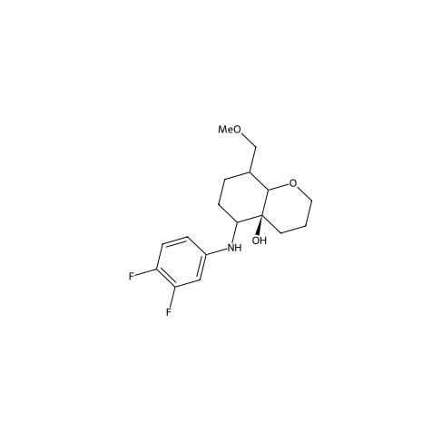 COCC1CCC(Nc2ccc(F)c(F)c2)[C@@]2(O)CCCOC12